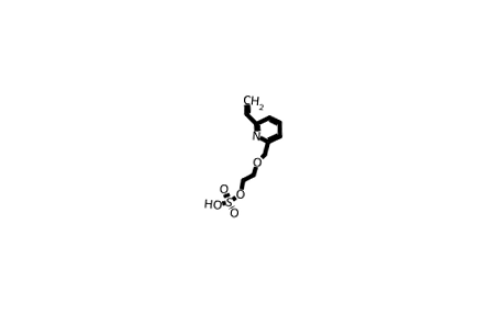 C=Cc1cccc(COCCOS(=O)(=O)O)n1